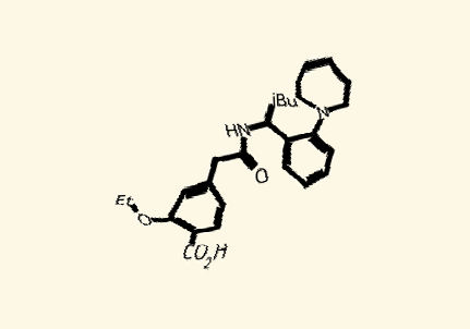 CCOc1cc(CC(=O)NC(c2ccccc2N2CCCCC2)C(C)CC)ccc1C(=O)O